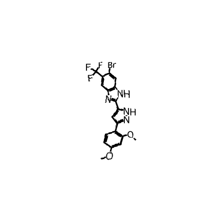 COc1ccc(-c2cc(-c3nc4cc(C(F)(F)F)c(Br)cc4[nH]3)[nH]n2)c(OC)c1